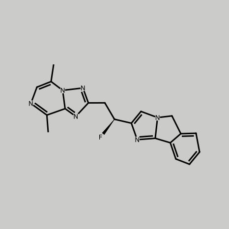 Cc1ncc(C)n2nc(C[C@H](F)c3cn4c(n3)-c3ccccc3C4)nc12